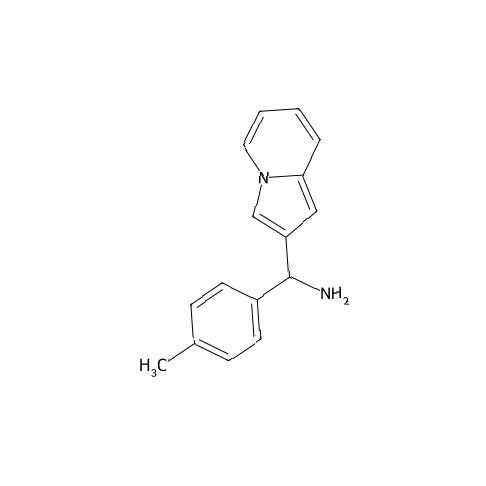 Cc1ccc(C(N)c2cc3ccccn3c2)cc1